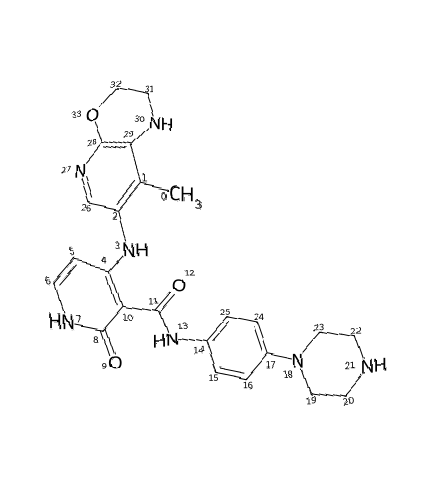 Cc1c(Nc2cc[nH]c(=O)c2C(=O)Nc2ccc(N3CCNCC3)cc2)cnc2c1NCCO2